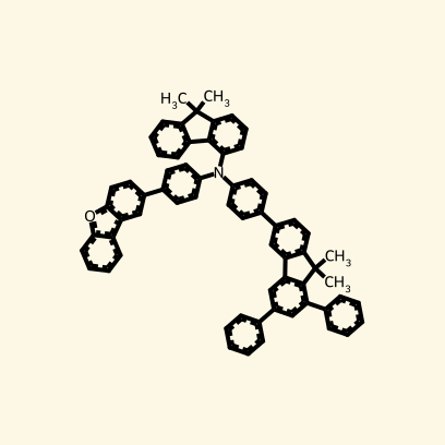 CC1(C)c2ccccc2-c2c(N(c3ccc(-c4ccc5c(c4)-c4cc(-c6ccccc6)cc(-c6ccccc6)c4C5(C)C)cc3)c3ccc(-c4ccc5oc6ccccc6c5c4)cc3)cccc21